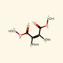 CCCCCCCCCC/C(C(=O)OCCCCCCCC)=C(\CCCCC)C(=O)OCCCCCCCC